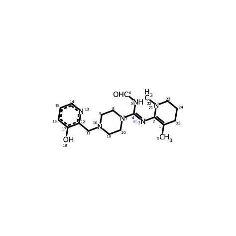 CC1=C(/N=C(\NC=O)N2CCN(Cc3ncccc3O)CC2)N(C)CCC1